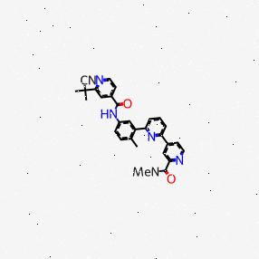 CNC(=O)c1cc(-c2cccc(-c3cc(NC(=O)c4ccnc(C(C)(C)C#N)c4)ccc3C)n2)ccn1